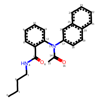 CCCCNC(=O)c1ccccc1N(C(C)=O)c1ccc2ccccc2c1